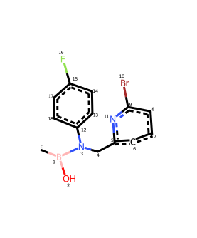 CB(O)N(Cc1cccc(Br)n1)c1ccc(F)cc1